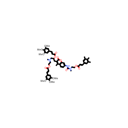 COc1cc(C=CC(=O)OCCN(C)CC(Cc2c(C)c3ccc(NC(=O)N(C)CCOC(=O)C=Cc4cc(C)c(C)c(C)c4)cc3oc2=O)OC(=O)C=Cc2cc(OC)c(OC)c(OC)c2)cc(OC)c1OC